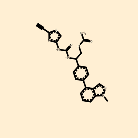 C#Cc1nc(NC(=O)NC(COC(N)=O)c2ccc(-c3cccc4c3cnn4C)cc2)cs1